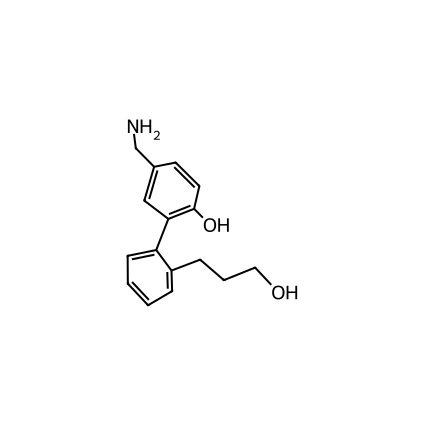 NCc1ccc(O)c(-c2ccccc2CCCO)c1